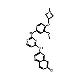 COc1cc(Nc2nccc(Nc3cnc4ccc(Cl)cc4c3)n2)ccc1OC1CN(C)C1